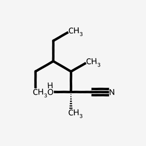 CCC(CC)C(C)[C@](C)(O)C#N